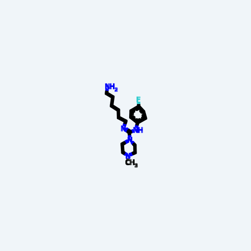 CN1CCN(C(=NCCCCCCN)Nc2ccc(F)cc2)CC1